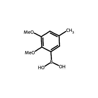 COc1cc(C)cc(B(O)O)c1OC